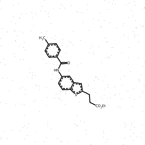 CCOC(=O)CCc1cc2cc(NC(=O)c3ccc(C)cc3)ccc2s1